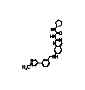 Cn1cc(-c2cccc(CNc3ccc4cnc(NC(=O)NC5CCCC5)nc4c3)c2)cn1